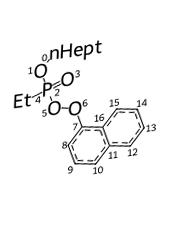 CCCCCCCOP(=O)(CC)OOc1cccc2ccccc12